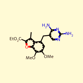 CCOC(=O)c1oc2c(OC)c(OC)cc(Cc3cnc(N)nc3N)c2c1C